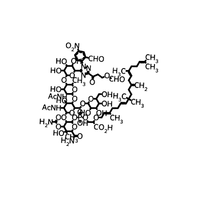 C=C(C/C=C(\C)CCC=C(C)C)CCC(C)(C)/C=C/CC/C(C)=C/COC(COP(=O)(O)OC1OC(C(N)=O)C(C)(O)C(OC(N)=O)C1OC1OC(COC2OC(CO)C(O)C(O)C2O)C(OC2OC(C)C(OC3OC(c4nc(C(=O)CCOC=O)nn4-c4ccc([N+](=O)[O-])cc4C=O)C(O)C(O)C3O)C(O)C2NC(C)=O)C(O)C1NC(C)=O)C(=O)O